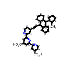 Cc1cccc(C)c1-c1c2c(c(C#Cc3ccnc(-c4cc(C(=O)O)cc(-c5cc(C(=O)O)ccn5)n4)c3)c3ccccc13)CC=CC2